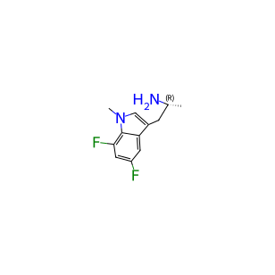 C[C@@H](N)Cc1cn(C)c2c(F)cc(F)cc12